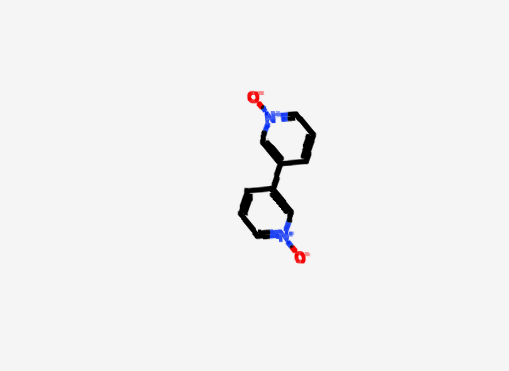 [O-][n+]1cccc(-c2ccc[n+]([O-])c2)c1